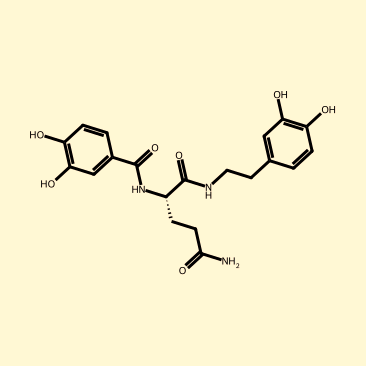 NC(=O)CC[C@H](NC(=O)c1ccc(O)c(O)c1)C(=O)NCCc1ccc(O)c(O)c1